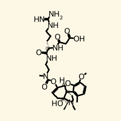 COc1ccc(C)c2c1O[C@@H]1C(OC(=O)N(C)CCNC(=O)[C@H](CCCNC(=N)N)NC(=O)CC(=O)O)=CC[C@]3(O)[C@H](C)N(C)CC[C@@]213